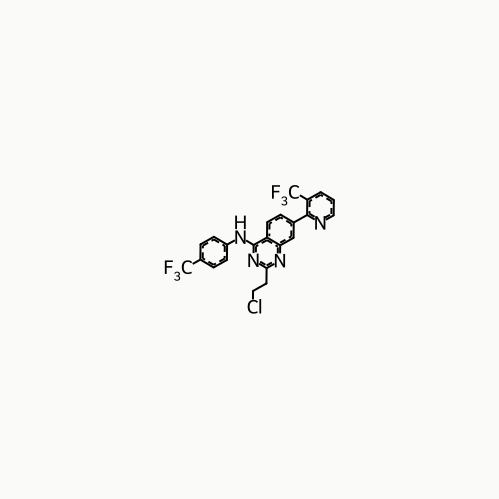 FC(F)(F)c1ccc(Nc2nc(CCCl)nc3cc(-c4ncccc4C(F)(F)F)ccc23)cc1